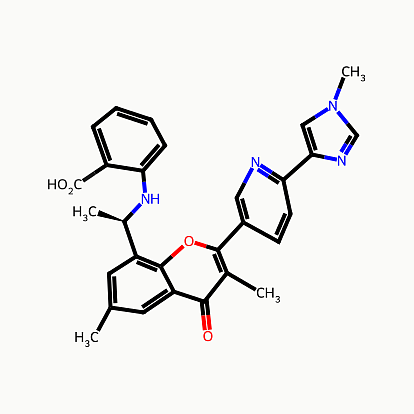 Cc1cc([C@@H](C)Nc2ccccc2C(=O)O)c2oc(-c3ccc(-c4cn(C)cn4)nc3)c(C)c(=O)c2c1